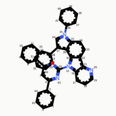 c1ccc(-c2cc(-c3ccccc3)nc(-n3c4cccnc4c4ccc5c(c(-c6ccccc6)cn5-c5ccccc5)c43)n2)cc1